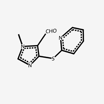 Cn1cnc(Sc2ccccn2)c1C=O